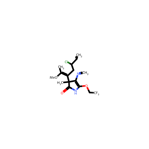 C=CC(Cl)C/C(=C(\C)OC)C1(C)C(=O)NC(OCC(F)(F)F)=C1N=C